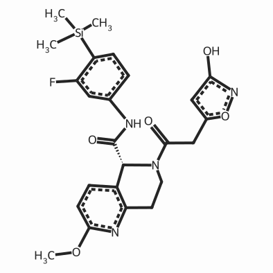 COc1ccc2c(n1)CCN(C(=O)Cc1cc(O)no1)[C@H]2C(=O)Nc1ccc([Si](C)(C)C)c(F)c1